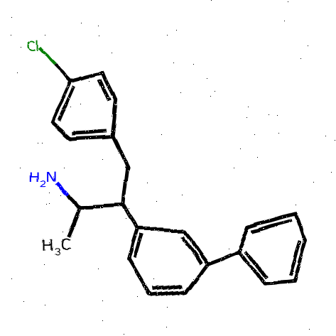 CC(N)C(Cc1ccc(Cl)cc1)c1cccc(-c2ccccc2)c1